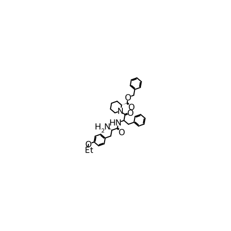 CCOc1ccc(C[C@H](N)C(=O)NC(Cc2ccccc2)C(=O)N2CCCC[C@@H]2C(=O)OCc2ccccc2)cc1